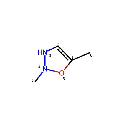 CC1=[C]NN(C)O1